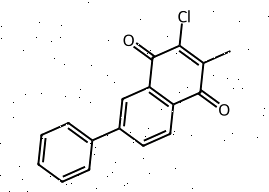 CC1=C(Cl)C(=O)c2cc(-c3ccccc3)ccc2C1=O